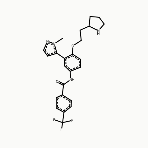 Cn1nccc1-c1cc(NC(=O)c2ccc(C(F)(F)F)cc2)ccc1OCCC1CCCN1